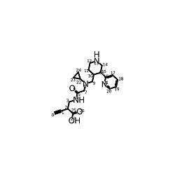 C#CC(CNC(=O)CN(CC1CCNC[C@H]1c1ccccn1)C1CC1)C(=O)O